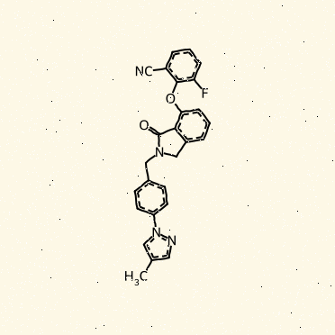 Cc1cnn(-c2ccc(CN3Cc4cccc(Oc5c(F)cccc5C#N)c4C3=O)cc2)c1